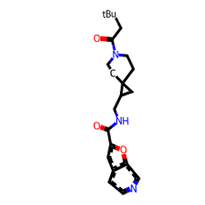 CC(C)(C)CC(=O)N1CCC2(CC1)CC2CNC(=O)c1cc2ccncc2o1